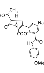 COc1ccc(NC(=O)c2cccc(C3=C(C(=O)[O-])N4C(=O)[C@H]([C@@H](C)O)[C@H]4C3)c2)cc1.[Na+]